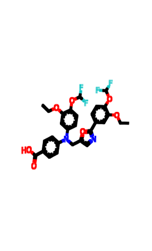 CCOc1cc(-c2ncc(CN(c3ccc(C(=O)O)cc3)c3ccc(OC(F)F)c(OCC)c3)o2)ccc1OC(F)F